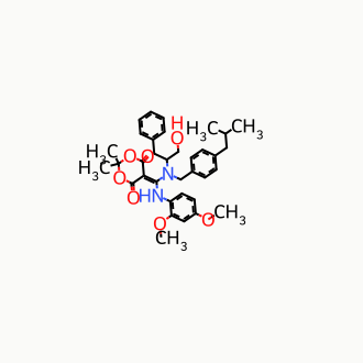 COc1ccc(NC(=C2C(=O)OC(C)(C)OC2=O)N(Cc2ccc(CC(C)C)cc2)C(CO)Cc2ccccc2)c(OC)c1